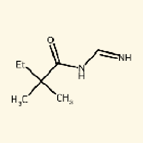 CCC(C)(C)C(=O)NC=N